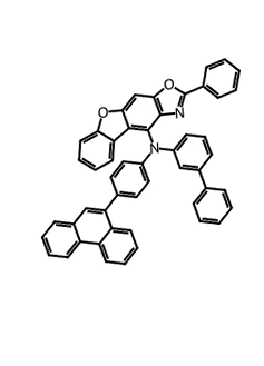 c1ccc(-c2cccc(N(c3ccc(-c4cc5ccccc5c5ccccc45)cc3)c3c4nc(-c5ccccc5)oc4cc4oc5ccccc5c34)c2)cc1